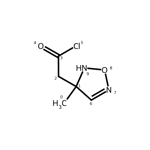 CC1(CC(=O)Cl)C=NON1